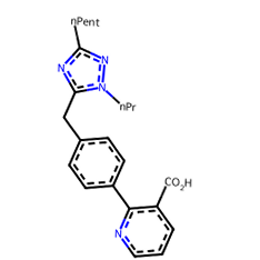 CCCCCc1nc(Cc2ccc(-c3ncccc3C(=O)O)cc2)n(CCC)n1